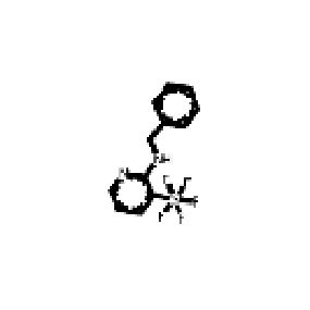 FS(F)(F)(F)(F)c1cccnc1NCc1ccccc1